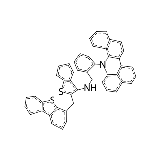 c1ccc(N2c3c(ccc4ccccc34)-c3cccc4cccc2c34)c(CNc2c(Cc3cccc4c3sc3ccccc34)sc3ccccc23)c1